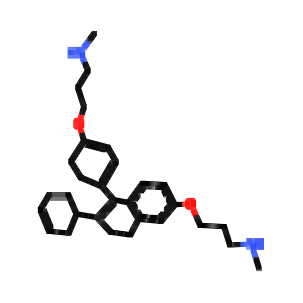 CNCCCOC1=CC=C(C2=C(C3C=CC=CC3)CCc3cc(OCCCNC)ccc32)CC1